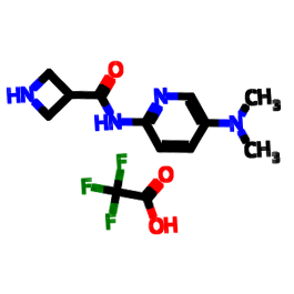 CN(C)c1ccc(NC(=O)C2CNC2)nc1.O=C(O)C(F)(F)F